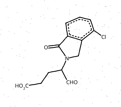 O=CC(CCC(=O)O)N1Cc2c(Cl)cccc2C1=O